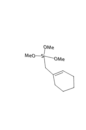 CO[Si](CC1=CCCCC1)(OC)OC